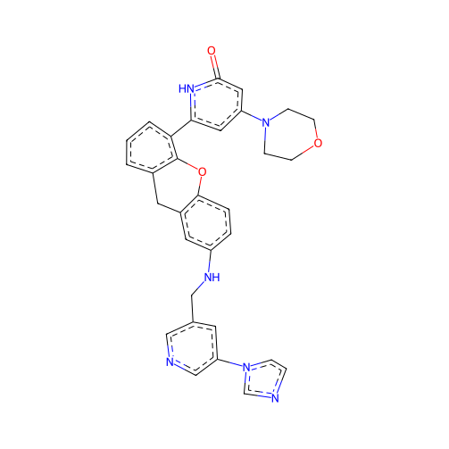 O=c1cc(N2CCOCC2)cc(-c2cccc3c2Oc2ccc(NCc4cncc(-n5ccnc5)c4)cc2C3)[nH]1